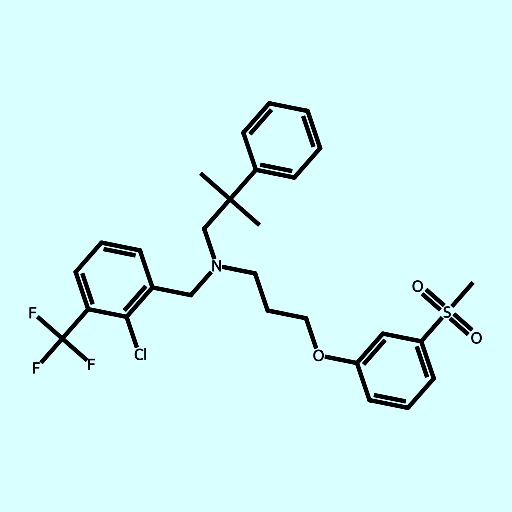 CC(C)(CN(CCCOc1cccc(S(C)(=O)=O)c1)Cc1cccc(C(F)(F)F)c1Cl)c1ccccc1